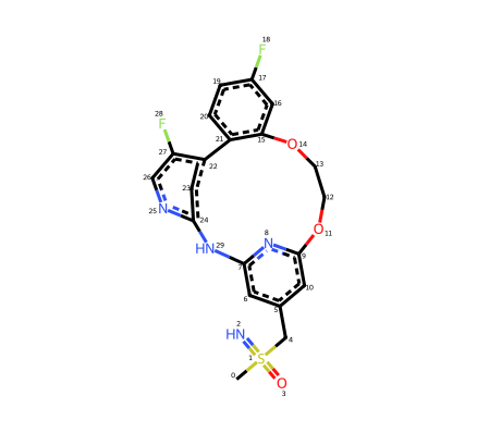 CS(=N)(=O)Cc1cc2nc(c1)OCCOc1cc(F)ccc1-c1cc(ncc1F)N2